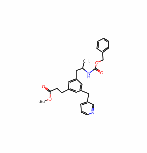 CC(Cc1cc(CCC(=O)OC(C)(C)C)cc(Cc2cccnc2)c1)NC(=O)OCc1ccccc1